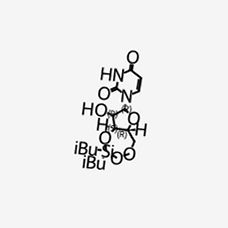 CCC(C)[Si]1(C(C)CC)OOC[C@H]2O[C@@H](n3ccc(=O)[nH]c3=O)[C@H](O)[C@@H]2O1